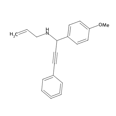 C=CCNC(C#CC1=CC=C=C=C1)c1ccc(OC)cc1